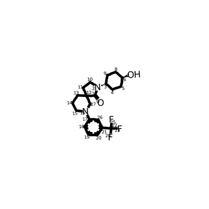 O=C1N([C@H]2CC[C@H](O)CC2)CCC12CCCN(c1cccc(C(F)(F)F)c1)C2